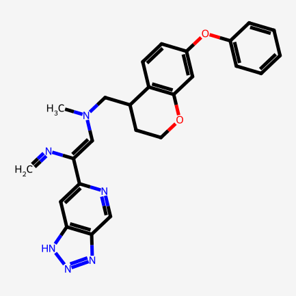 C=N/C(=C\N(C)CC1CCOc2cc(Oc3ccccc3)ccc21)c1cc2[nH]nnc2cn1